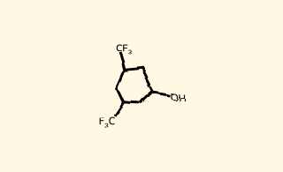 OC1CC(C(F)(F)F)CC(C(F)(F)F)C1